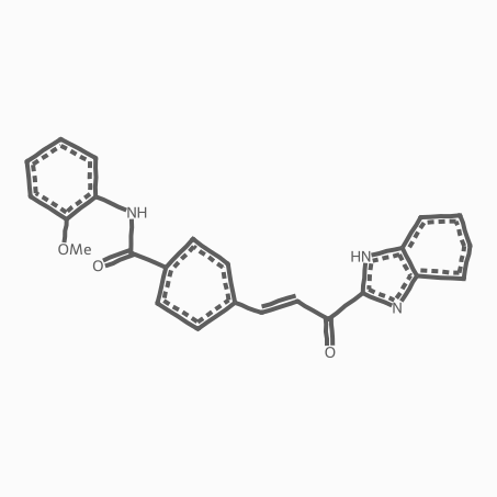 COc1ccccc1NC(=O)c1ccc(C=CC(=O)c2nc3ccccc3[nH]2)cc1